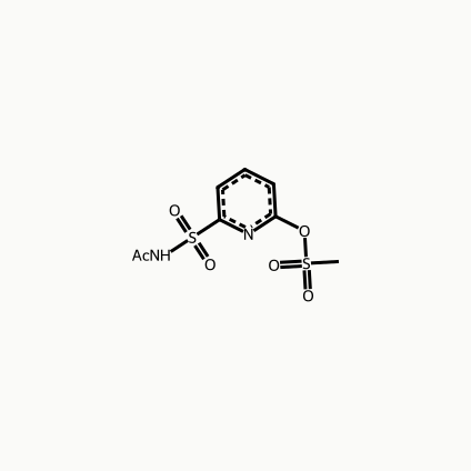 CC(=O)NS(=O)(=O)c1cccc(OS(C)(=O)=O)n1